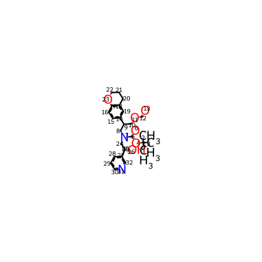 CC(C)(C)OC(=O)N(CC(COC=O)c1ccc2c(c1)CCCO2)C[C@H](O)c1cccnc1